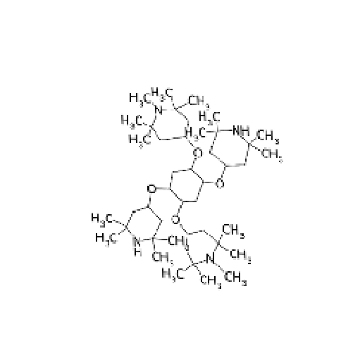 CN1C(C)(C)CC(OC2CC(OC3CC(C)(C)NC(C)(C)C3)C(OC3CC(C)(C)N(C)C(C)(C)C3)CC2OC2CC(C)(C)NC(C)(C)C2)CC1(C)C